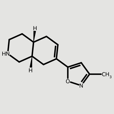 Cc1cc(C2=CC[C@H]3CCNC[C@H]3C2)on1